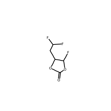 O=C1OC(F)C(CC(F)F)O1